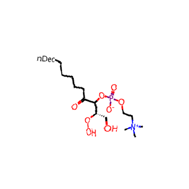 CCCCCCCCCCCCCCCC(=O)C(OP(=O)([O-])OCC[N+](C)(C)C)[C@H](CO)OO